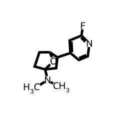 CN(C)C12CCC(O1)C(c1ccnc(F)c1)C2